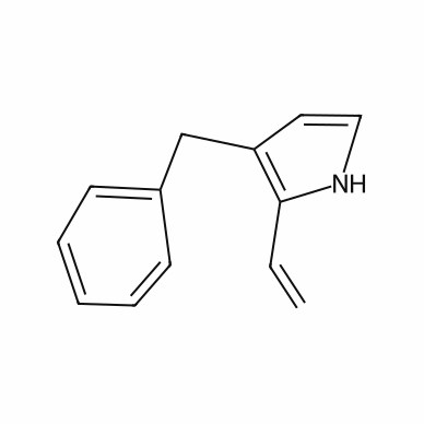 C=Cc1[nH]ccc1Cc1ccccc1